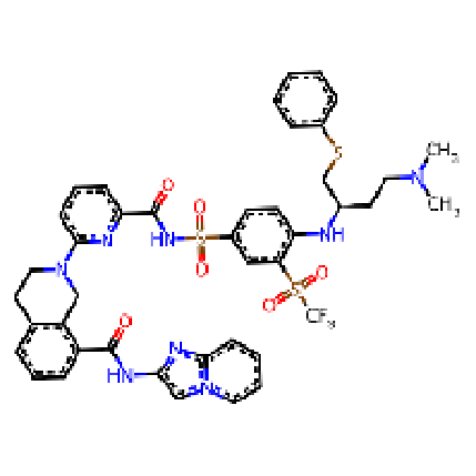 CN(C)CC[C@H](CSc1ccccc1)Nc1ccc(S(=O)(=O)NC(=O)c2cccc(N3CCc4cccc(C(=O)Nc5cn6ccccc6n5)c4C3)n2)cc1S(=O)(=O)C(F)(F)F